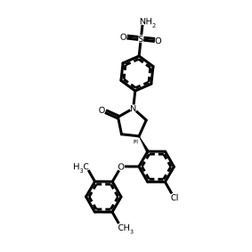 Cc1ccc(C)c(Oc2cc(Cl)ccc2[C@H]2CC(=O)N(c3ccc(S(N)(=O)=O)cc3)C2)c1